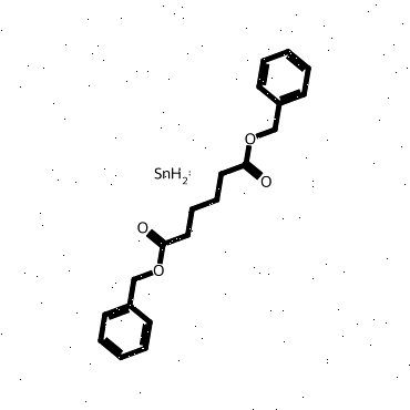 O=C(CCCCC(=O)OCc1ccccc1)OCc1ccccc1.[SnH2]